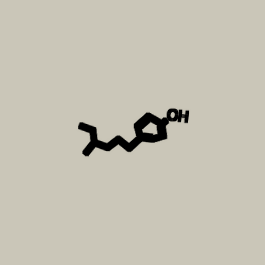 CCC(C)CCCc1ccc(O)cc1